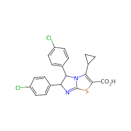 O=C(O)C1=C(C2CC2)N2C(=NC(c3ccc(Cl)cc3)C2c2ccc(Cl)cc2)S1